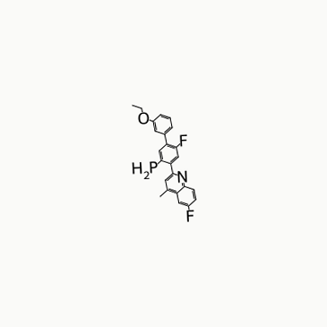 CCOc1cccc(-c2cc(P)c(-c3cc(C)c4cc(F)ccc4n3)cc2F)c1